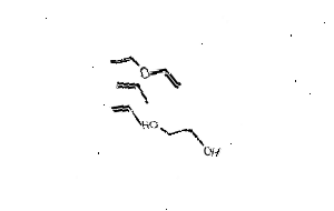 C=CC.C=CC.C=COC=C.OCCO